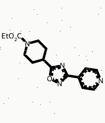 CCOC(=O)N1CCC(c2nc(-c3ccncc3)no2)CC1